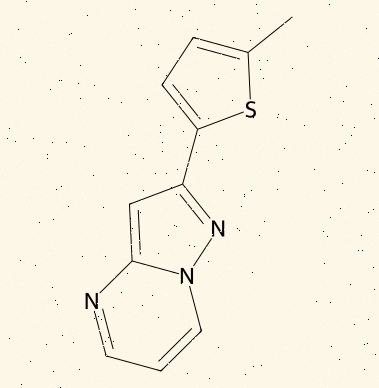 Cc1ccc(-c2cc3ncccn3n2)s1